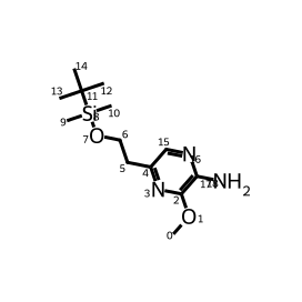 COc1nc(CCO[Si](C)(C)C(C)(C)C)cnc1N